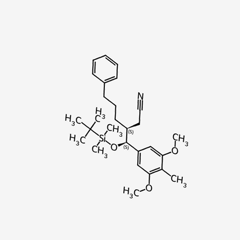 COc1cc([C@@H](O[Si](C)(C)C(C)(C)C)[C@H](CC#N)CCCc2ccccc2)cc(OC)c1C